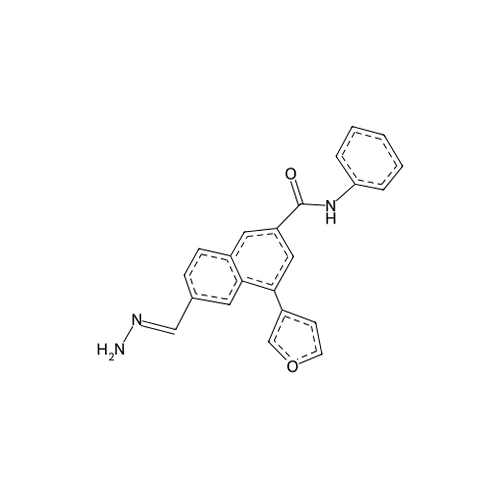 NN=Cc1ccc2cc(C(=O)Nc3ccccc3)cc(-c3ccoc3)c2c1